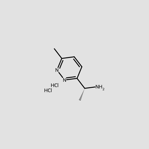 Cc1ccc([C@@H](C)N)nn1.Cl.Cl